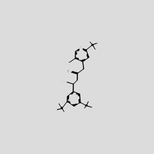 N=C(Cc1cc(C(F)(F)F)ncc1Cl)CC(O)c1cc(C(F)(F)F)cc(C(F)(F)F)c1